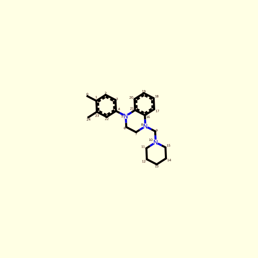 Cc1ccc(N2CCN(CN3CCCCC3)c3ccccc32)cc1C